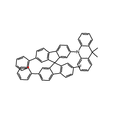 CC1(C)c2ccccc2N(c2ccc3c(c2)C2(c4cc(F)ccc4-c4ccc(-c5ccccc5)cc42)c2cc(-c4ccccc4)ccc2-3)c2ccccc21